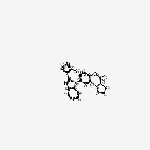 C[C@H](Oc1ccc(-n2c(-c3nonc3N)nc3cnccc32)cc1)C1CCCN1